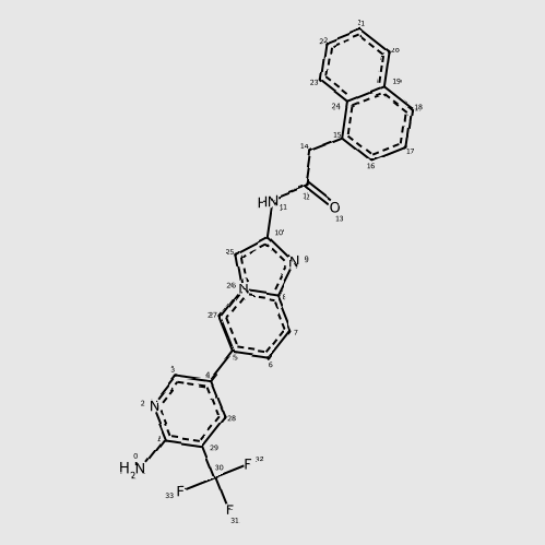 Nc1ncc(-c2ccc3nc(NC(=O)Cc4cccc5ccccc45)cn3c2)cc1C(F)(F)F